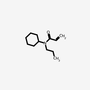 C=CC(=O)N(CCC)C1CCCCC1